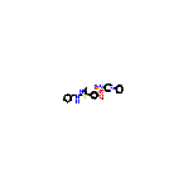 COc1ccc(-c2sc(NCC3CCCCC3)nc2C)cc1S(=O)(=O)NC1CCN(C2CCCCC2)CC1